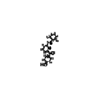 Cc1cccc(C)c1SCc1cccc(C(=O)N2CCC(O)CC2)n1